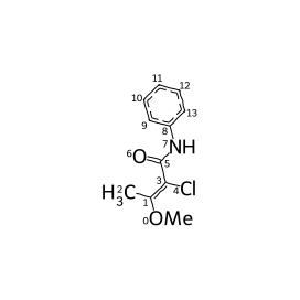 COC(C)=C(Cl)C(=O)Nc1ccccc1